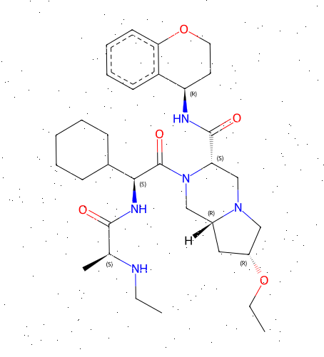 CCN[C@@H](C)C(=O)N[C@H](C(=O)N1C[C@H]2C[C@@H](OCC)CN2C[C@H]1C(=O)N[C@@H]1CCOc2ccccc21)C1CCCCC1